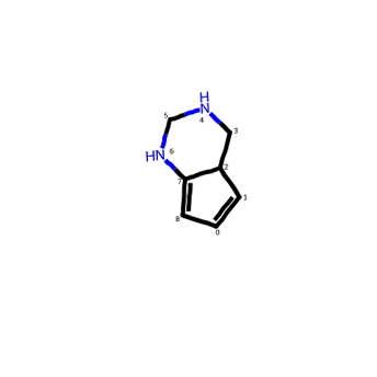 C1=CC2CNCNC2=C1